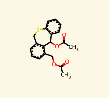 CC(=O)OCc1cccc2c1C(OC(C)=O)c1ccccc1SC2